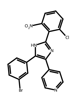 O=[N+]([O-])c1cccc(Cl)c1-c1nc(-c2ccncc2)c(-c2cccc(Br)c2)[nH]1